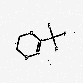 FC(F)(F)C1=[C]SCCO1